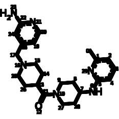 Cc1cccc(NC2CCN(C(=O)C3CCN(Cc4ccnc(N)c4)CC3)CC2)n1